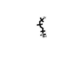 CC(C)(Br)CC(C)(C)CCC(C)(C)[Si](C)(C)O